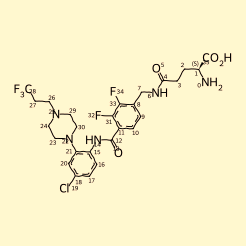 N[C@@H](CCC(=O)NCc1ccc(C(=O)Nc2ccc(Cl)cc2N2CCN(CCC(F)(F)F)CC2)c(F)c1F)C(=O)O